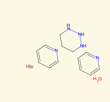 Br.C1CNNNC1.O.c1ccncc1.c1ccncc1